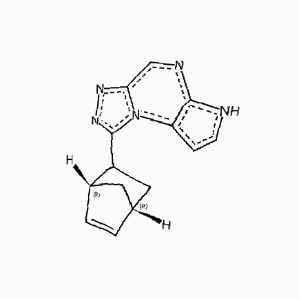 C1=C[C@H]2C[C@@H]1CC2c1nnc2cnc3[nH]ccc3n12